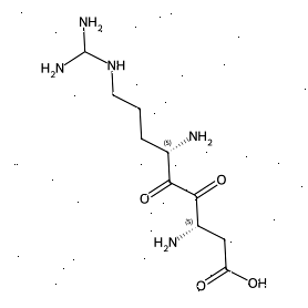 NC(N)NCCC[C@H](N)C(=O)C(=O)[C@@H](N)CC(=O)O